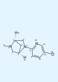 CN1C[C@H]2C[C@@H]1CN2c1ccc(Cl)cn1